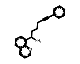 NC(CCCC#Cc1ccccc1)c1cccc2cccnc12